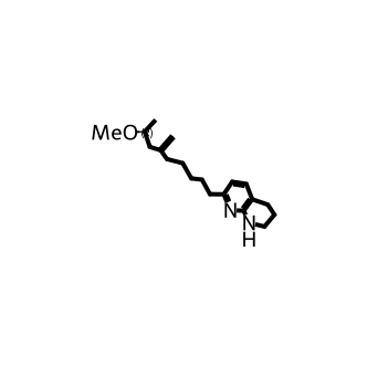 C=C(CCCCCc1ccc2c(n1)NCCC2)C[C@@H](C)OC